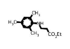 CCOC(=O)CCNc1c(C)cc(C)cc1C